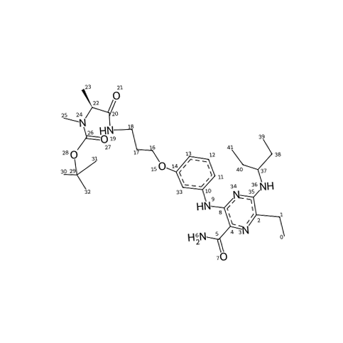 CCc1nc(C(N)=O)c(Nc2cccc(OCCCNC(=O)[C@H](C)N(C)C(=O)OC(C)(C)C)c2)nc1NC(CC)CC